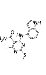 CSc1nc(C)c(C(N)=O)c(Nc2cccc3[nH]ccc23)n1